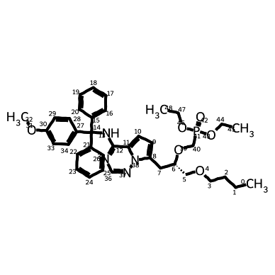 CCCCOC[C@H](Cc1ccc2c(NC(c3ccccc3)(c3ccccc3)c3ccc(OC)cc3)ncnn12)OCP(=O)(OCC)OCC